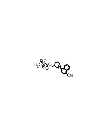 CS(=O)(=O)NC(=O)OCC1CCCN(c2ccc(C#N)c3ccccc23)C1